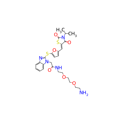 CC(C)N1C(=O)S/C(=C\c2ccc(Sc3nc4ccccc4n3CC(=O)NCCOCCOCCN)o2)C1=O